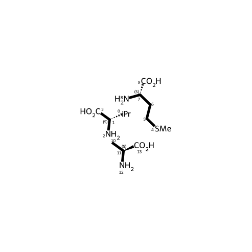 CC(C)[C@H](N)C(=O)O.CSCC[C@H](N)C(=O)O.C[C@H](N)C(=O)O